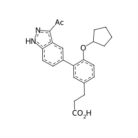 CC(=O)c1n[nH]c2ccc(-c3cc(CCC(=O)O)ccc3OC3CCCC3)cc12